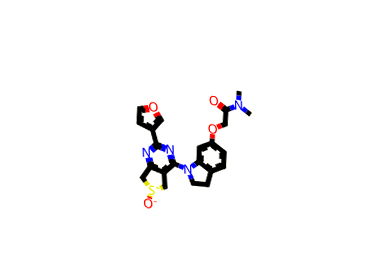 CN(C)C(=O)COc1ccc2c(c1)N(c1nc(-c3ccoc3)nc3c1C[S+]([O-])C3)CC2